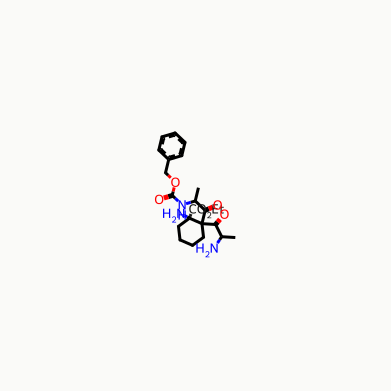 CCOC(=O)C1(N)CCCCC1(C(=O)C(C)N)C(=O)C(C)NC(=O)OCc1ccccc1